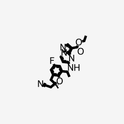 CCOC(=O)c1cnn2ccc(NC(C)c3cc(F)cc4c3O[C@](C)(CC#N)C4)nc12